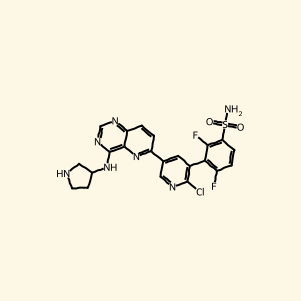 NS(=O)(=O)c1ccc(F)c(-c2cc(-c3ccc4ncnc(NC5CCNC5)c4n3)cnc2Cl)c1F